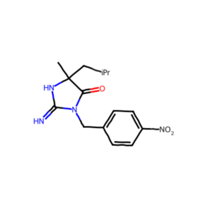 CC(C)CC1(C)NC(=N)N(Cc2ccc([N+](=O)[O-])cc2)C1=O